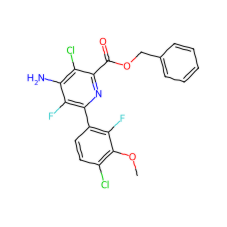 COc1c(Cl)ccc(-c2nc(C(=O)OCc3ccccc3)c(Cl)c(N)c2F)c1F